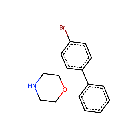 Brc1ccc(-c2ccccc2)cc1.C1COCCN1